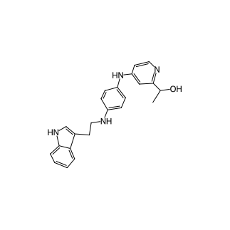 CC(O)c1cc(Nc2ccc(NCCc3c[nH]c4ccccc34)cc2)ccn1